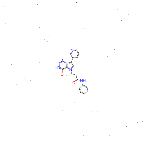 O=C(CCn1cc(-c2cccnc2)c2nc[nH]c(=O)c21)Nc1ccccc1